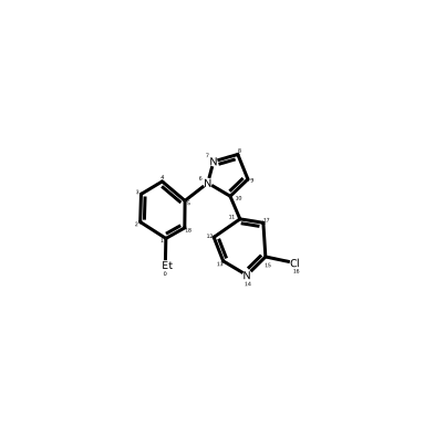 CCc1cccc(-n2nccc2-c2ccnc(Cl)c2)c1